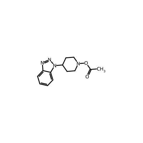 CC(=O)ON1CCC(n2nnc3ccccc32)CC1